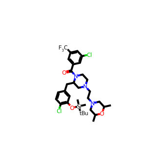 CC1CN(CCN2CCN(C(=O)c3cc(Cl)cc(C(F)(F)F)c3)C(Cc3ccc(Cl)c(O[Si](C)(C)C(C)(C)C)c3)C2)CC(C)O1